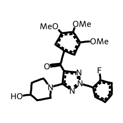 COc1cc(C(=O)c2nn(-c3ccccc3F)nc2N2CCC(O)CC2)cc(OC)c1OC